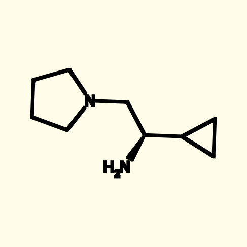 N[C@@H](CN1CCCC1)C1CC1